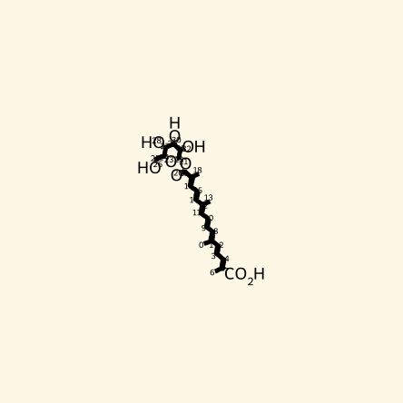 CC(/C=C/C=C(\C)C(=O)O)=C\C=C\C=C(C)\C=C\C=C(/C)C(=O)O[C@@H]1OC(CO)[C@@H](O)C(O)C1O